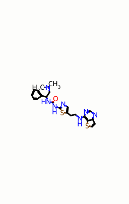 CN(C)CC(NC(=O)Nc1ncc(CCNc2ncnc3ccsc23)s1)c1ccccc1